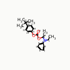 CCN(c1ccccc1)C(C)OC(=O)Oc1ccc(C(C)(C)C)cc1